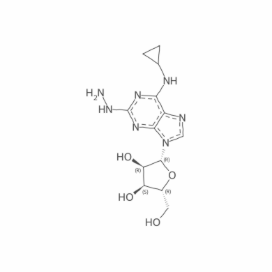 NNc1nc(NC2CC2)c2ncn([C@@H]3O[C@H](CO)[C@@H](O)[C@H]3O)c2n1